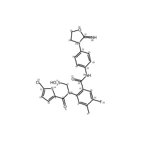 Cc1cc(N(CS(=O)(=O)O)C(=O)c2ccc(Cl)s2)c(C(=O)Nc2ccc(N3CCOC3=N)cc2)cc1F